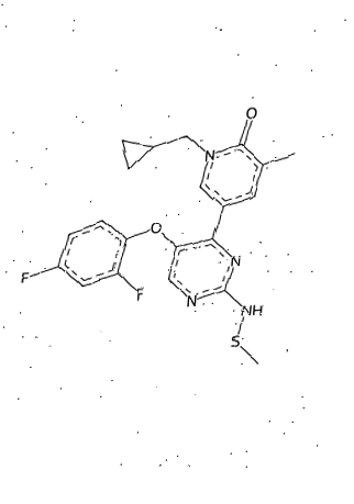 CSNc1ncc(Oc2ccc(F)cc2F)c(-c2cc(C)c(=O)n(CC3CC3)c2)n1